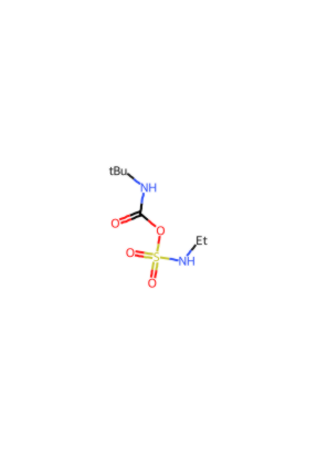 CCNS(=O)(=O)OC(=O)NC(C)(C)C